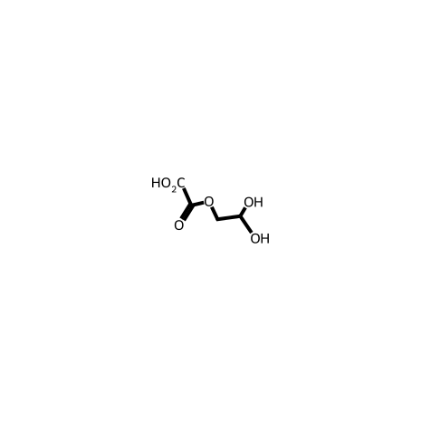 O=C(O)C(=O)OCC(O)O